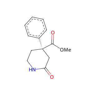 COC(=O)[C@]1(c2ccccc2)CCNC(=O)C1